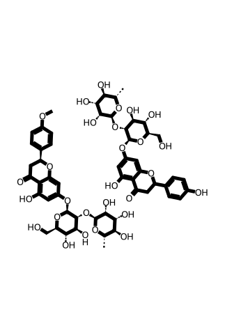 COc1ccc([C@@H]2CC(=O)c3c(O)cc(O[C@@H]4O[C@H](CO)[C@@H](O)[C@H](O)[C@H]4O[C@@H]4O[C@@H](C)[C@H](O)[C@@H](O)[C@H]4O)cc3O2)cc1.C[C@@H]1O[C@@H](O[C@H]2[C@H](Oc3cc(O)c4c(c3)OC(c3ccc(O)cc3)CC4=O)O[C@H](CO)[C@@H](O)[C@@H]2O)[C@H](O)[C@H](O)[C@H]1O